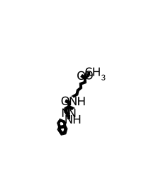 COC(=O)CCCCCCNC(=O)c1cnc(NC2CCc3ccccc32)nc1